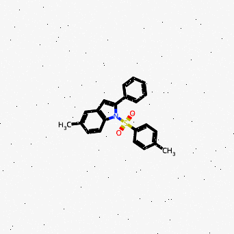 Cc1ccc(S(=O)(=O)n2c(-c3ccccc3)cc3cc(C)ccc32)cc1